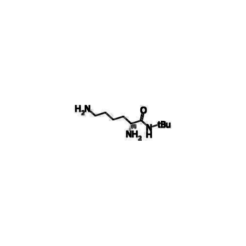 CC(C)(C)NC(=O)[C@H](N)CCCCN